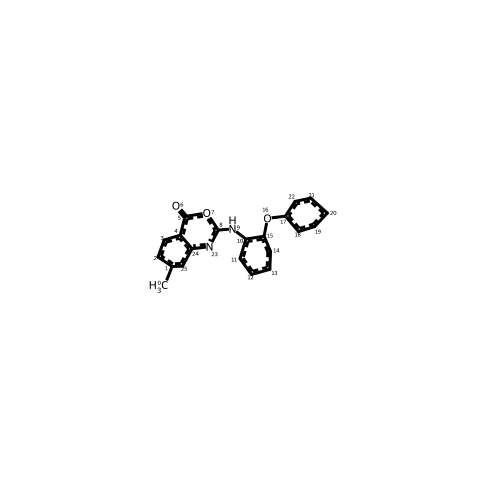 Cc1ccc2c(=O)oc(Nc3ccccc3Oc3ccccc3)nc2c1